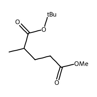 COC(=O)CCC(C)C(=O)OC(C)(C)C